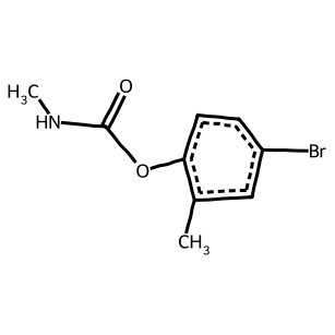 CNC(=O)Oc1ccc(Br)cc1C